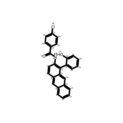 O=C(Nc1ccc2cc3ccccc3cc2c1-c1ccccc1O)c1ccc(Cl)cc1